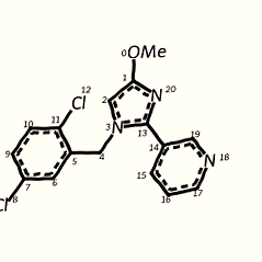 COc1cn(Cc2cc(Cl)ccc2Cl)c(-c2cccnc2)n1